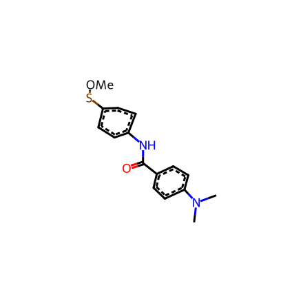 COSc1ccc(NC(=O)c2ccc(N(C)C)cc2)cc1